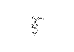 COC(=O)c1cnn(CC(=O)O)c1